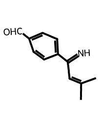 CC(C)=CC(=N)c1ccc(C=O)cc1